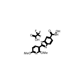 COc1ccc(-c2nc3ccc(C(=O)NO)cc3s2)c(OC)n1.O=C(O)C(F)(F)F